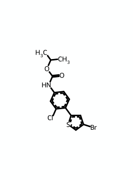 CC(C)OC(=O)Nc1ccc(-c2cc(Br)cs2)c(Cl)c1